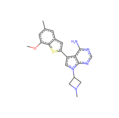 COc1cc(C)cc2cc(-c3cn(C4CN(C)C4)c4ncnc(N)c34)sc12